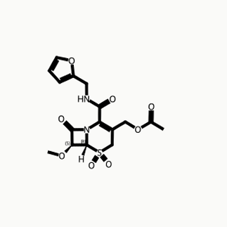 CO[C@H]1C(=O)N2C(C(=O)NCc3ccco3)=C(COC(C)=O)CS(=O)(=O)[C@H]12